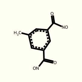 Cc1cc(C(=O)N=O)cc(C(=O)N=O)c1